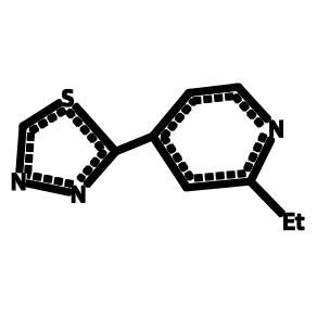 CCc1cc(-c2nncs2)ccn1